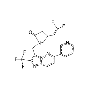 O=C1CC(C=C(F)F)CN1Cc1c(C(F)(F)F)nc2ccc(-c3cccnc3)nn12